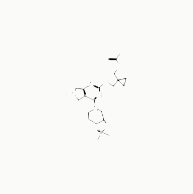 CC(=O)OCC1(COc2nc3c(c(N4CCC[C@](C)(O[Si](C)(C)C)C4)n2)CNC3)CC1